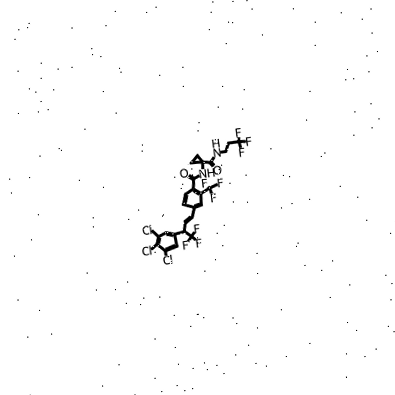 O=C(NC1(C(=O)NCCC(F)(F)F)CC1)c1ccc(/C=C/C(c2cc(Cl)c(Cl)c(Cl)c2)C(F)(F)F)cc1C(F)(F)F